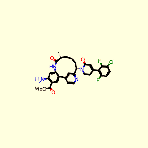 COC(=O)c1cc2c(cc1N)NC(=O)[C@H](C)CCC[C@H](N1CCC(c3c(F)ccc(Cl)c3F)=CC1=O)c1cc-2ccn1